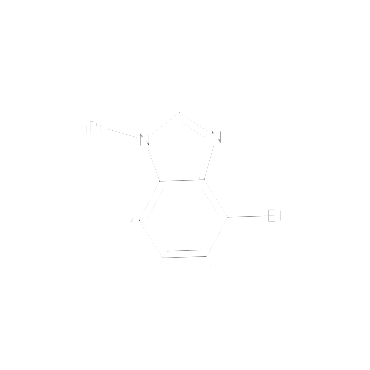 CCc1cccc2c1ncn2C(C)C